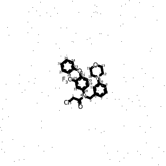 O=C(CCl)N(Cc1cccc(N2CCOCC2)c1)c1ccc(Oc2ccccc2)c(C(F)(F)F)c1